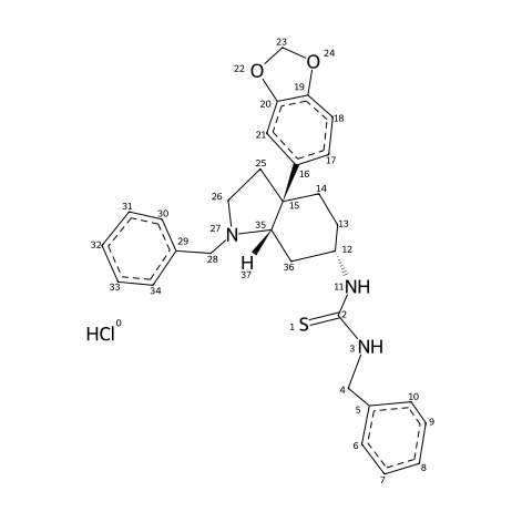 Cl.S=C(NCc1ccccc1)N[C@H]1CC[C@@]2(c3ccc4c(c3)OCO4)CCN(Cc3ccccc3)[C@H]2C1